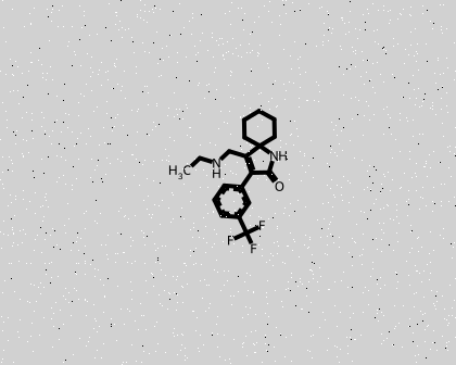 CCNCC1=C(c2cccc(C(F)(F)F)c2)C(=O)NC12CCCCC2